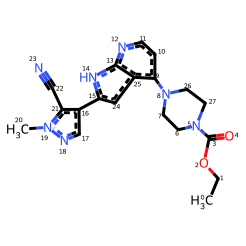 CCOC(=O)N1CCN(c2ccnc3[nH]c(-c4cnn(C)c4C#N)cc23)CC1